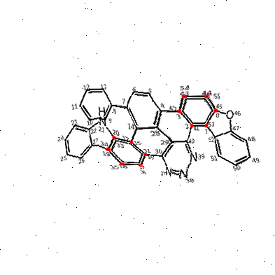 c1ccc(-c2ccc(-c3ccccc3)c(-c3cccc4c3[nH]c3ccccc34)c2-c2c(-c3ccccc3)nnnc2-c2cccc3oc4ccccc4c23)cc1